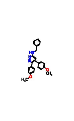 COc1ccc(-c2cc(NCc3ccccc3)nnc2-c2ccc(OC)cc2)cc1